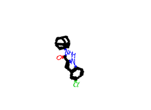 O=C(NC12CC3CC(CC(C3)C1)C2)c1cc2cc(Cl)ccc2[nH]1